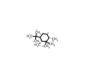 C[C@@H]1C(C(C)(C)C)CC[C@H](C)C1(C)C